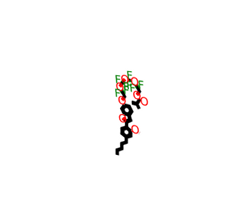 C=C(C)C(=O)OCC(F)(F)OC(F)(F)OC(F)(F)OC(F)(F)COc1ccc2cc(-c3ccc(CCCCC)cc3OC)oc2c1